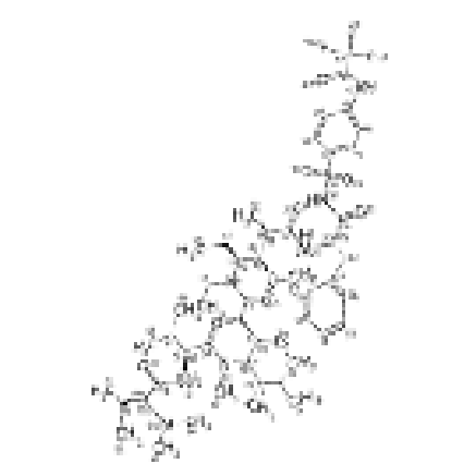 CC[C@H](C)[C@@H]([C@@H](CC(=O)N(CC)[C@@H](CC)[C@H](OC)[C@@H](C)C(=O)N[C@@H](Cc1ccccc1)C(=O)NS(=O)(=O)c1ccc(NC(=O)C(F)(F)F)cc1)OC)N(C)C(=O)[C@@H](NC(=O)[C@H](C(C)C)N(C)C)C(C)C